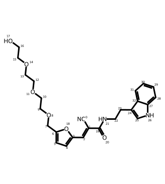 N#C/C(=C\c1ccc(COCCOCCOCCO)o1)C(=O)NCCc1c[nH]c2ccccc12